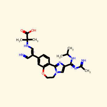 CC(=N)/N=C(\NC(C)C)c1cn2c(n1)-c1ccc(/C(C=N)=C/NC(C)(C)C(=O)O)cc1OCC2